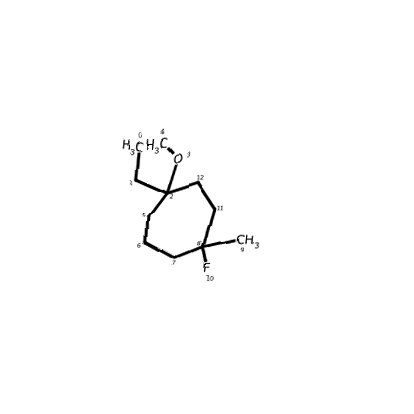 CCC1(OC)CCCC(C)(F)CC1